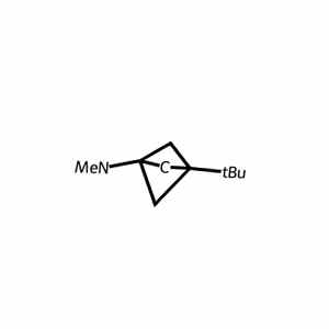 CNC12CC(C(C)(C)C)(C1)C2